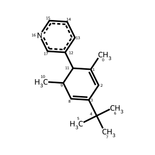 CC1=CC(C(C)(C)C)=CC(C)C1c1cccnc1